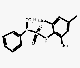 Cc1cc(C(C)(C)C)c(NS(=O)(=O)N(C(=O)O)c2ccccc2)c(C(C)(C)C)c1